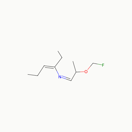 CC/C=C(CC)\N=C/C(C)OCF